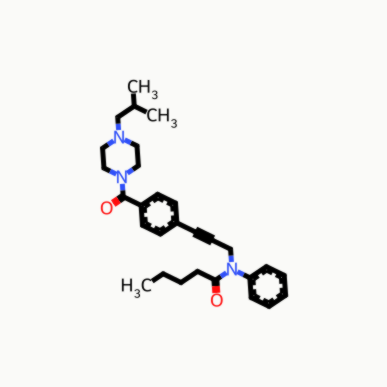 CCCCC(=O)N(CC#Cc1ccc(C(=O)N2CCN(CC(C)C)CC2)cc1)c1ccccc1